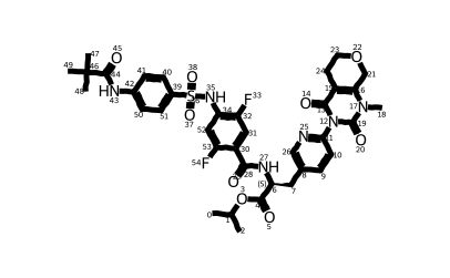 CC(C)OC(=O)[C@H](Cc1ccc(-n2c(=O)c3c(n(C)c2=O)COCC3)nc1)NC(=O)c1cc(F)c(NS(=O)(=O)c2ccc(NC(=O)C(C)(C)C)cc2)cc1F